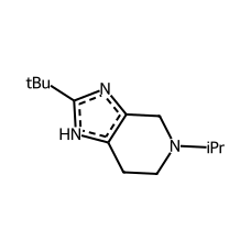 CC(C)N1CCc2[nH]c(C(C)(C)C)nc2C1